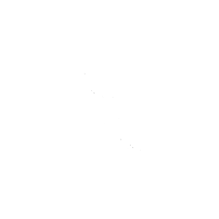 CC(C)(C)ONc1ccc(CCN)cc1